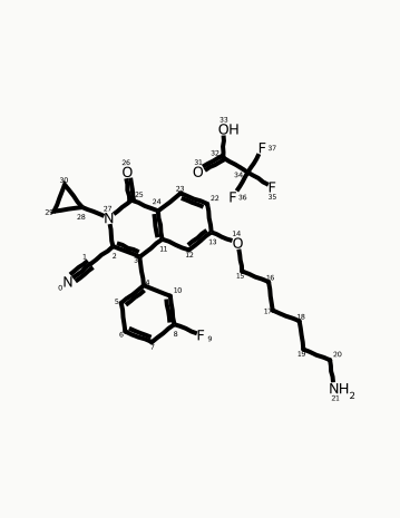 N#Cc1c(-c2cccc(F)c2)c2cc(OCCCCCCN)ccc2c(=O)n1C1CC1.O=C(O)C(F)(F)F